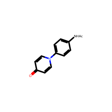 CC(=O)Nc1ccc(-n2ccc(=O)cc2)cc1